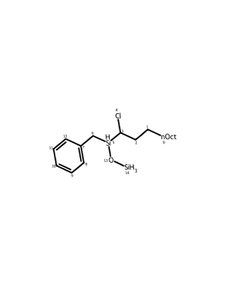 CCCCCCCCCCC(Cl)[SiH](Cc1ccccc1)O[SiH3]